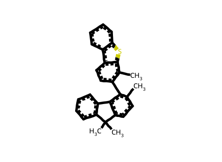 Cc1ccc2c(c1-c1ccc3c(sc4ccccc43)c1C)-c1ccccc1C2(C)C